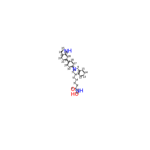 O=C(CCCCCCN(Cc1ccccc1)c1ccc(-c2ccc3cc[nH]c3c2)cc1)NO